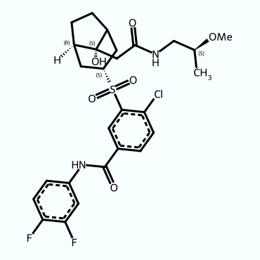 CO[C@@H](C)CNC(=O)C[C@]1(O)C2CC[C@@H]1C[C@@H](S(=O)(=O)c1cc(C(=O)Nc3ccc(F)c(F)c3)ccc1Cl)C2